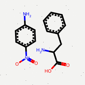 NC(Cc1ccccc1)C(=O)O.Nc1ccc([N+](=O)[O-])cc1